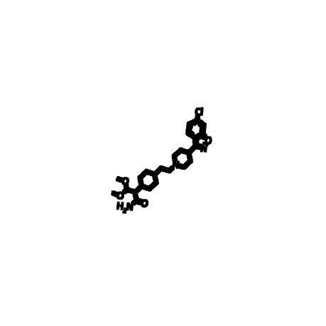 COC(OC)C(C(N)=O)C1CCC(CCN2CCC(c3noc4cc(Cl)ccc34)CC2)CC1